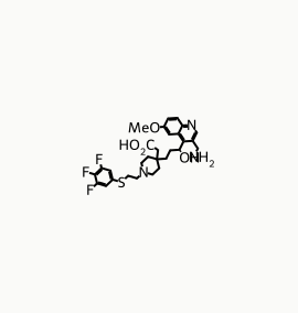 COc1ccc2ncc(CN)c([C@@H](O)CCC3(CC(=O)O)CCN(CCSc4cc(F)c(F)c(F)c4)CC3)c2c1